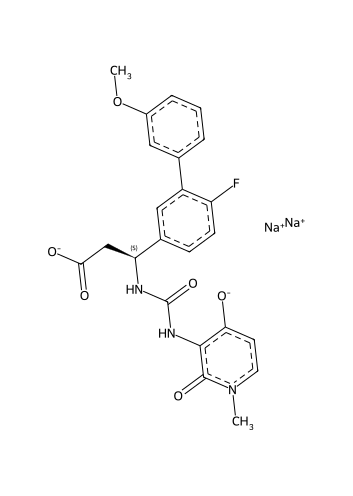 COc1cccc(-c2cc([C@H](CC(=O)[O-])NC(=O)Nc3c([O-])ccn(C)c3=O)ccc2F)c1.[Na+].[Na+]